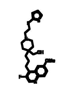 COc1ccc2ncc(F)c(CCCC3(CO)CCN(CCSc4cccs4)CC3)c2c1